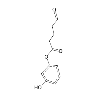 O=CCCCC(=O)Oc1cccc(O)c1